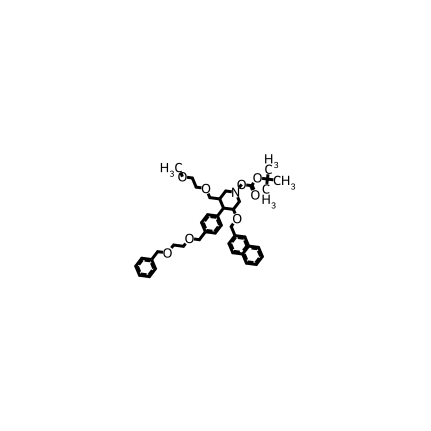 COCCOCC1CN(OC(=O)OC(C)(C)C)CC(OCc2ccc3ccccc3c2)C1c1ccc(COCCOCc2ccccc2)cc1